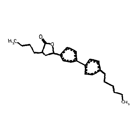 CCCCCCc1ccc(-c2ccc(C3CC(CCCC)C(=O)O3)cc2)cc1